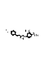 CCCOc1ccc(SCC(O)/C=C/c2ccc(C(F)(F)F)cc2)cc1C